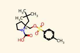 Cc1ccc(S(=O)(=O)OC[C@]2(CC(C)(C)C)CCCN2C(=O)O)cc1